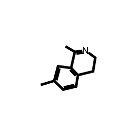 CC1=NCCc2ccc(C)cc21